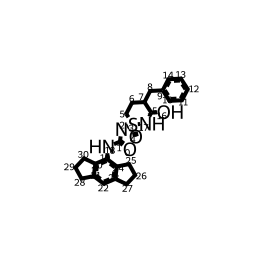 O=C(N=S1(=O)CCC(Cc2ccccc2)C(O)N1)Nc1c2c(cc3c1CCC3)CCC2